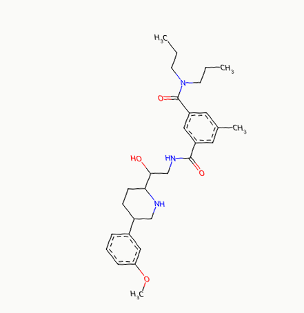 CCCN(CCC)C(=O)c1cc(C)cc(C(=O)NCC(O)C2CCC(c3cccc(OC)c3)CN2)c1